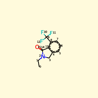 CCN1Cc2cccc(C(F)(F)F)c2C1=O